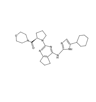 O=C([C@H]1CCCN1c1nc2c(c(Nc3ncc(C4CCCCC4)[nH]3)n1)CCC2)N1CCOCC1